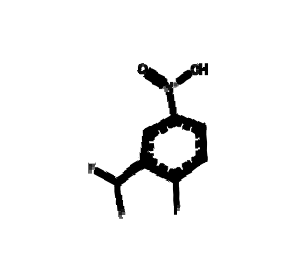 O=[N+](O)c1ccc(F)c(C(F)F)c1